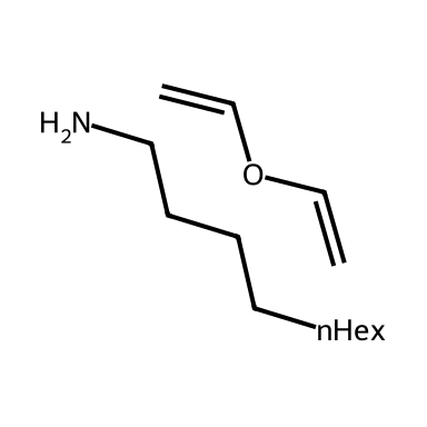 C=COC=C.CCCCCCCCCCN